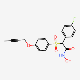 CC#CCOc1ccc(S(=O)(=O)C(C(=O)NO)c2ccc(F)cc2)cc1